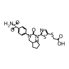 NS(=O)(=O)c1ccc(N(CC2CCCC2)C(=O)Nc2ncc(SCC(=O)O)s2)cc1